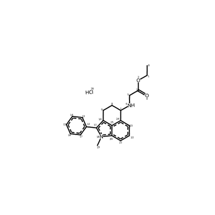 CCOC(=O)CNC1CCc2c(-c3ccccc3)n(C)c3cccc1c23.Cl